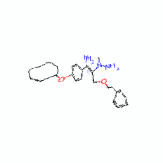 CN(N)/C(COCc1ccccc1)=C(\N)c1ccc(OC2CCCCC2)cc1